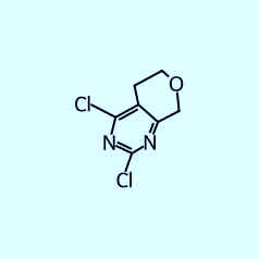 Clc1nc(Cl)c2c(n1)COCC2